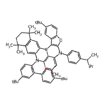 Cc1cc2c3c(c1)N(c1ccc(C(C)C(C)C)cc1)c1oc4ccc(C(C)(C)C)cc4c1B3c1cc3c(cc1N2c1ccc(C(C)(C)C)cc1-c1ccc(C(C)(C)C)cc1)C(C)(C)CCC3(C)C